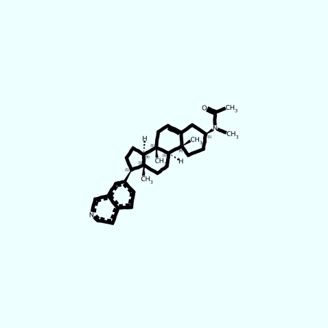 CC(=O)N(C)[C@H]1CC[C@@]2(C)C(=CC[C@@]3(C)[C@@H]4CC[C@H](c5ccc6ccncc6c5)[C@@]4(C)CC[C@@H]32)C1